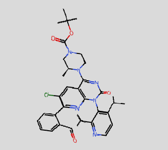 CC(C)c1ccnc(C(C)C)c1-n1c(=O)nc(N2CCN(C(=O)OC(C)(C)C)C[C@@H]2C)c2cc(Cl)c(-c3ccccc3C=O)nc21